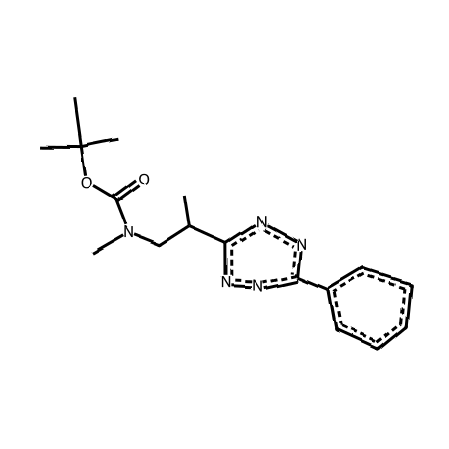 CC(CN(C)C(=O)OC(C)(C)C)c1nnc(-c2ccccc2)nn1